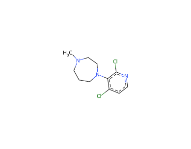 CN1CCCN(c2c(Cl)ccnc2Cl)CC1